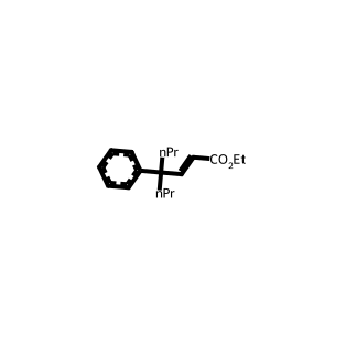 CCCC(C=CC(=O)OCC)(CCC)c1ccccc1